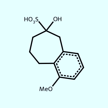 COc1cccc2c1CCCC(O)(S(=O)(=O)O)C2